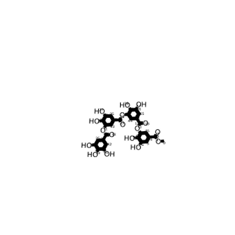 COC(=O)c1cc(O)c(O)c(OC(=O)c2cc(O)c(O)c(OC(=O)c3cc(O)c(O)c(OC(=O)c4cc(O)c(O)c(O)c4)c3)c2)c1